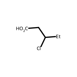 [CH2]CC(Cl)CC(=O)O